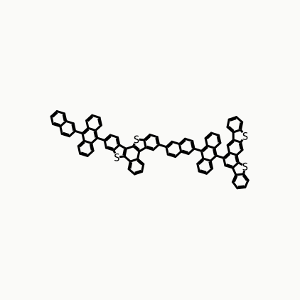 c1ccc2cc(-c3c4ccccc4c(-c4ccc5c(c4)sc4c6ccccc6c6c7cc(-c8ccc9cc(-c%10c%11ccccc%11c(-c%11cc%12c%13ccccc%13sc%12c%12cc%13sc%14ccccc%14c%13cc%11%12)c%11ccccc%10%11)ccc9c8)ccc7sc6c54)c4ccccc34)ccc2c1